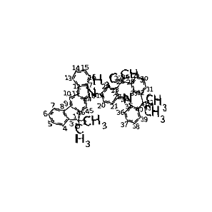 CC1(C)c2ccccc2-c2cc3c4ccccc4n(-c4ccc5c(c4)C(C)(C)c4cccc6c4N5c4ccccc4C6(C)C)c3cc21